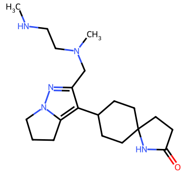 CNCCN(C)Cc1nn2c(c1C1CCC3(CCC(=O)N3)CC1)CCC2